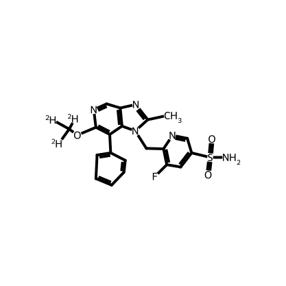 [2H]C([2H])([2H])Oc1ncc2nc(C)n(Cc3ncc(S(N)(=O)=O)cc3F)c2c1-c1ccccc1